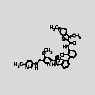 COc1cc(C(=O)Nc2cccc(C3=CCCC(NC(=O)c4nc5c(n4C)CCN(C)C5)=C3Cl)c2C)ncc1CNc1ccc(C)nc1